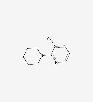 Clc1cccnc1N1CCCCC1